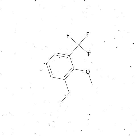 CCc1c[c]cc(C(F)(F)F)c1OC